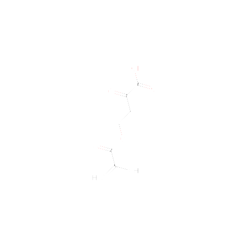 C=C(C)C(=O)OCCC(=O)C(=O)O